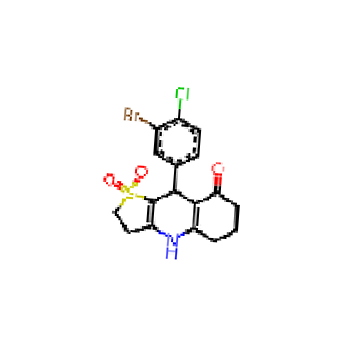 O=C1CCCC2=C1C(c1ccc(Cl)c(Br)c1)C1=C(CCS1(=O)=O)N2